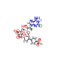 CO[C@H](COC(Cc1ccc(-c2ccc(S(C)(=O)=O)cc2)cc1)(C(=O)O)C(=O)O)[C@@H](O)[C@H](F)n1cnc2c(N)nc(Cl)nc21